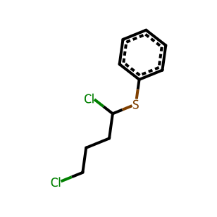 ClCCCC(Cl)Sc1ccccc1